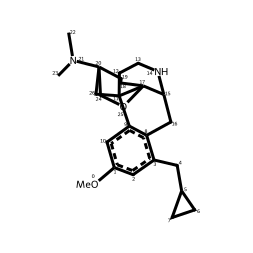 COc1cc(CC2CC2)c2c(c1)C13CCNC(C2)C12CCC(N(C)C)(CO2)C3